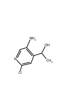 CC(O)c1cc(Cl)ncc1N